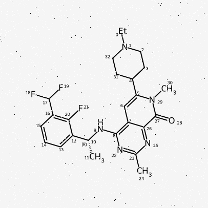 CCN1CCC(c2cc3c(N[C@H](C)c4cccc(C(F)F)c4F)nc(C)nc3c(=O)n2C)CC1